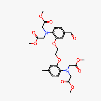 COC(=O)CN(CC(=O)OC)c1ccc(C)cc1OCCOc1cc(C=O)ccc1N(CC(=O)OC)CC(=O)OC